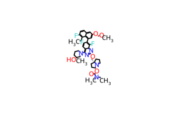 CCc1c(F)ccc2cc(OCOC)cc(-c3c(F)cc4c(N5CCC[C@@](C)(O)C5)nc(OC[C@]56CCCN5[C@@H](OC(=O)N(C)CC)CC6)nc4c3F)c12